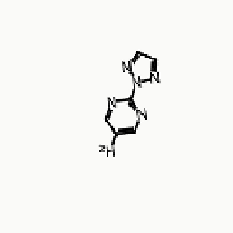 [2H]c1cnc(-n2nccn2)nc1